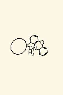 CC1(c2cccc3c2[N]c2ccccc2O3)CCCCCCCCCC1